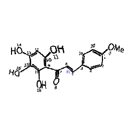 COc1ccc(/C=C/C(=O)c2c(O)cc(O)c(O)c2O)cc1